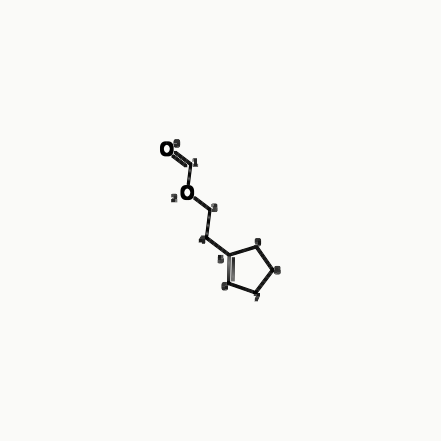 O=COCCC1=CCCC1